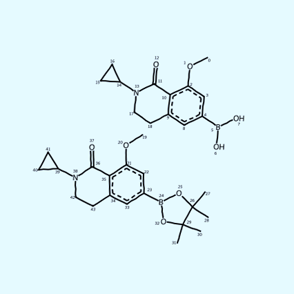 COc1cc(B(O)O)cc2c1C(=O)N(C1CC1)CC2.COc1cc(B2OC(C)(C)C(C)(C)O2)cc2c1C(=O)N(C1CC1)CC2